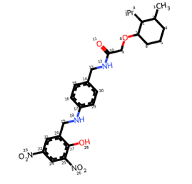 CC(C)C1C(C)CCCC1OCC(=O)NCc1ccc(NCc2cc([N+](=O)[O-])cc([N+](=O)[O-])c2O)cc1